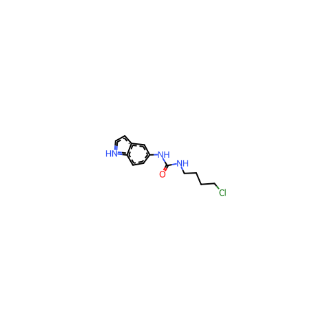 O=C(NCCCCCl)Nc1ccc2[nH]ccc2c1